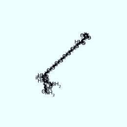 BC(=O)CNC(=O)[C@H](CCCNC(N)=O)NC(=O)C(NC(=O)CCOCCOCCOCCOCCOCCOCCOCCOCCNC(=O)CCN1C(=O)C=CC1=O)C(C)C